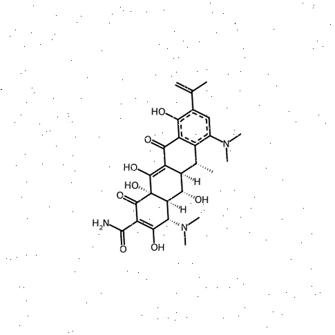 C=C(C)c1cc(N(C)C)c2c(c1O)C(=O)C1=C(O)[C@]3(O)C(=O)C(C(N)=O)=C(O)[C@@H](N(C)C)[C@@H]3[C@@H](O)[C@@H]1[C@H]2C